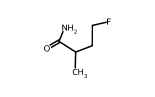 CC(CCF)C(N)=O